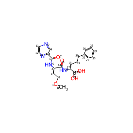 COCC[C@@H](NC(=O)c1cnccn1)C(=O)N[C@@H](CCCc1ccccc1)B(O)O